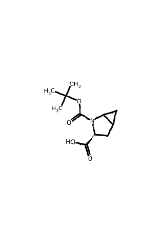 CC(C)(C)OC(=O)N1C2CC2C[C@H]1C(=O)O